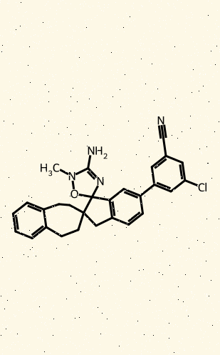 CN1OC2(N=C1N)c1cc(-c3cc(Cl)cc(C#N)c3)ccc1CC21CCc2ccccc2CC1